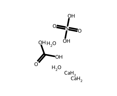 O.O.O=C(O)O.O=S(=O)(O)O.[CaH2].[CaH2]